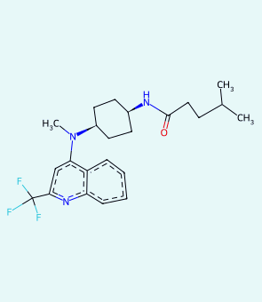 CC(C)CCC(=O)N[C@H]1CC[C@@H](N(C)c2cc(C(F)(F)F)nc3ccccc23)CC1